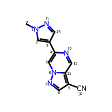 Cn1cc(-c2cn3ncc(C#N)c3cn2)cn1